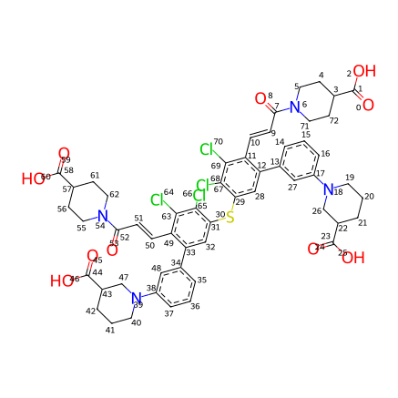 O=C(O)C1CCN(C(=O)/C=C/c2c(-c3cccc(N4CCCC(C(=O)O)C4)c3)cc(Sc3cc(-c4cccc(N5CCCC(C(=O)O)C5)c4)c(/C=C/C(=O)N4CCC(C(=O)O)CC4)c(Cl)c3Cl)c(Cl)c2Cl)CC1